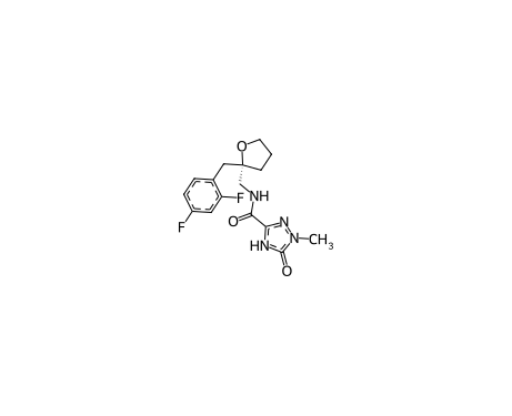 Cn1nc(C(=O)NC[C@@]2(Cc3ccc(F)cc3F)CCCO2)[nH]c1=O